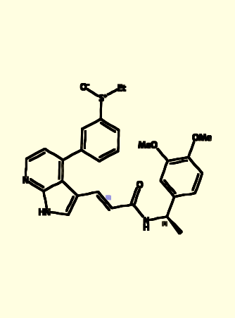 CC[S+]([O-])c1cccc(-c2ccnc3[nH]cc(/C=C/C(=O)N[C@H](C)c4ccc(OC)c(OC)c4)c23)c1